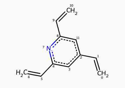 C=Cc1cc(C=C)nc(C=C)c1